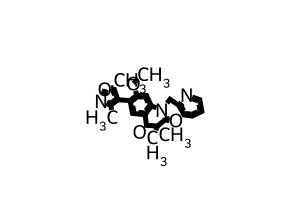 COc1cc2c(cc1-c1c(C)noc1C)C(=O)C(C)(C)C(=O)N2Cc1ccccn1